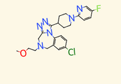 COCCN1Cc2cc(Cl)ccc2-n2c(nnc2C2CCN(c3ccc(F)cn3)CC2)C1